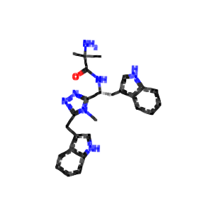 Cn1c(Cc2c[nH]c3ccccc23)nnc1[C@@H](Cc1c[nH]c2ccccc12)NC(=O)C(C)(C)N